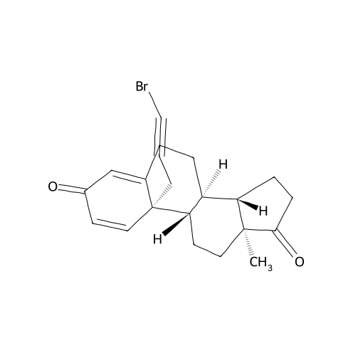 C[C@]12CC[C@H]3[C@@H](CCC4=CC(=O)C=C[C@@]43CC#CBr)[C@@H]1CCC2=O